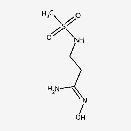 CS(=O)(=O)NCC/C(N)=N/O